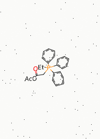 CCP(CC(=O)OC(C)=O)(c1ccccc1)(c1ccccc1)c1ccccc1